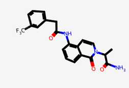 CC(C(N)=O)n1ccc2c(NC(=O)Cc3cccc(C(F)(F)F)c3)cccc2c1=O